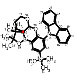 CC1(C)OB(c2cc([Si](C)(C)C)cc(-n3c4ccccc4c4ccccc43)c2OC2CCCCO2)OC1(C)C